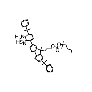 CCCCC(C)(C)OC(=O)OCCCC1(C)c2cc(C3=CC=C(C(C)(C)c4ccccc4)C(N)/C3=N\S)ccc2-c2ccc(C(C)(C)c3ccccc3)cc21